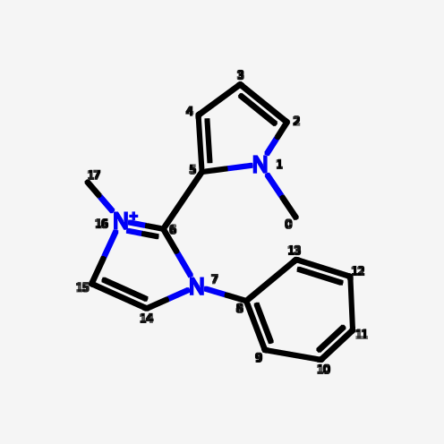 Cn1cccc1-c1n(-c2ccccc2)cc[n+]1C